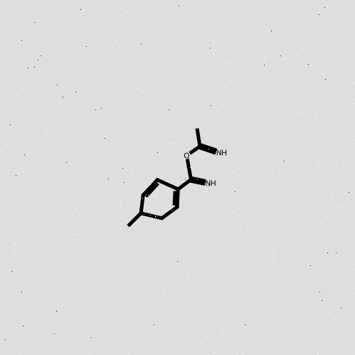 CC(=N)OC(=N)C1=CCC(C)C=C1